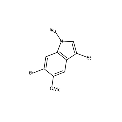 [CH2]Cc1cn(C(C)CC)c2cc(Br)c(OC)cc12